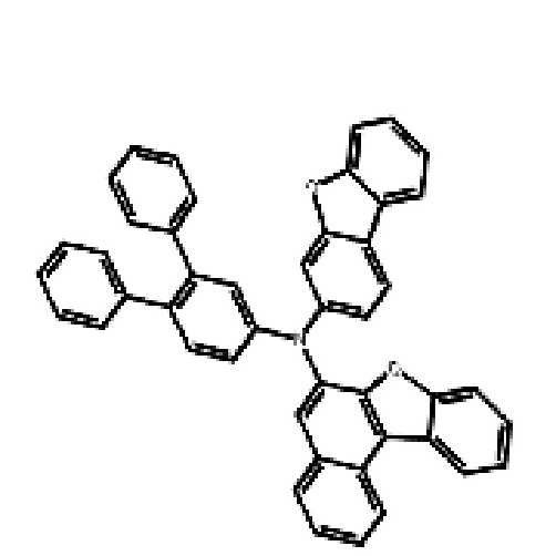 c1ccc(-c2ccc(N(c3ccc4c(c3)oc3ccccc34)c3cc4ccccc4c4c3oc3ccccc34)cc2-c2ccccc2)cc1